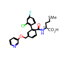 CSCC[C@H](NC(=O)c1ccc(COc2cccnc2)cc1-c1ccc(F)cc1Cl)C(=O)O